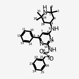 CC1(C)CC(Nc2cc(-c3ccccc3)nc(NS(=O)(=O)c3ccccc3)n2)CC(C)(C)N1